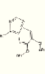 CCCOc1cc2ncnc(C#N)c2cc1OCCC